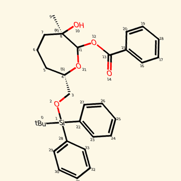 CC(C)(C)[Si](OC[C@@H]1CCC[C@@](C)(O)C(OC(=O)c2ccccc2)O1)(c1ccccc1)c1ccccc1